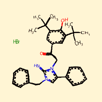 Br.CC(C)(C)c1cc(C(=O)Cn2c(-c3ccccc3)cn(Cc3ccccc3)c2=N)cc(C(C)(C)C)c1O